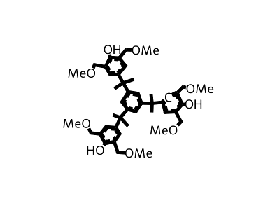 COCc1cc(C(C)(C)c2cc(C(C)(C)c3cc(COC)c(O)c(COC)c3)cc(C(C)(C)c3cc(COC)c(O)c(COC)c3)c2)cc(COC)c1O